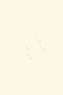 c1ccc(-c2ccc(N(c3ccc(-c4c5oc(-c6ccccc6)nc5cc5c4oc4ccccc45)cc3)c3cccc(-c4ccccc4)c3)cc2)cc1